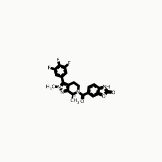 C[C@H]1c2nn(C)c(-c3cc(F)c(F)c(F)c3)c2CCN1C(=O)c1ccc2[nH]c(=O)oc2c1